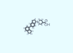 O=C(O)C1CCN([C@H]2CCc3cc(-c4cccc5c4CCC5)ccc32)CC1